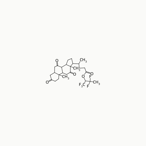 CC(CCC(=O)OC(C(C)(F)F)C(F)(F)F)C1CCC2C3C(=O)CC4CC(=O)CCC4(C)C3CC(=O)C12C